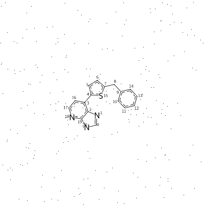 C1=Nc2c(-c3ccc(Cc4ccccc4)s3)ccnc2[N]1